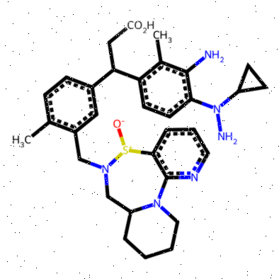 Cc1ccc(C(CC(=O)O)c2ccc(N(N)C3CC3)c(N)c2C)cc1CN1CC2CCCCN2c2ncccc2[S+]1[O-]